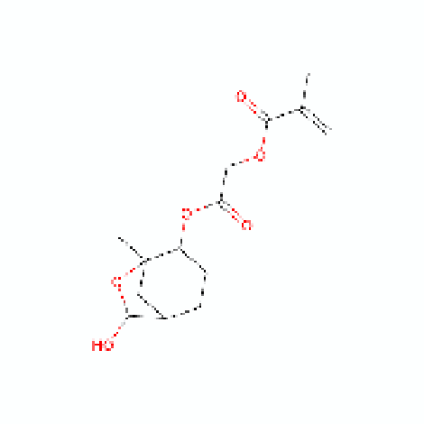 C=C(C)C(=O)OCC(=O)OC1CCC2CC1(C)OC2O